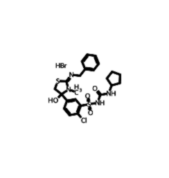 Br.CN1C(=NCc2ccccc2)SCC1(O)c1ccc(Cl)c(S(=O)(=O)NC(=O)NC2CCCC2)c1